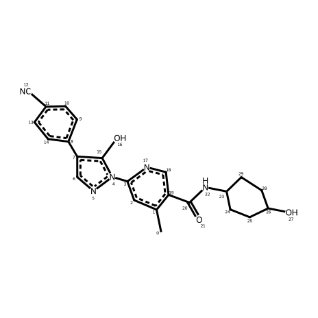 Cc1cc(-n2ncc(-c3ccc(C#N)cc3)c2O)ncc1C(=O)NC1CCC(O)CC1